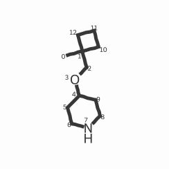 CC1(COC2CCNCC2)CCC1